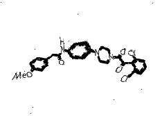 COc1ccc(CC(=O)Nc2ccc(N3CCN(C(=O)C(=O)c4c(Cl)cccc4Cl)CC3)cc2)cc1